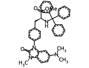 COC(=O)[C@H](Cc1ccc(-n2c(=O)n(C)c3ccc(N(C)C)cc32)cc1)NC(c1ccccc1)(c1ccccc1)c1ccccc1